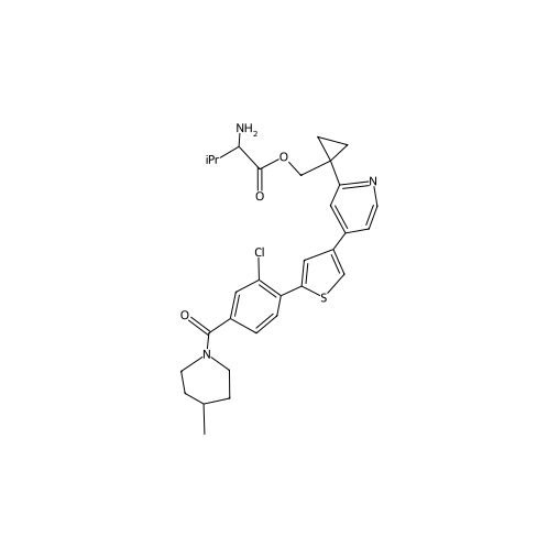 CC1CCN(C(=O)c2ccc(-c3cc(-c4ccnc(C5(COC(=O)C(N)C(C)C)CC5)c4)cs3)c(Cl)c2)CC1